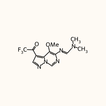 COc1c(N=CN(C)C)ncn2ncc(C(=O)C(F)(F)F)c12